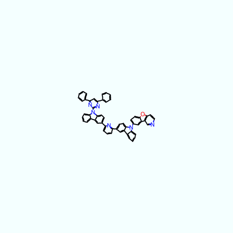 c1ccc(-c2cc(-c3ccccc3)nc(-n3c4ccccc4c4cc(-c5cccc(-c6ccc7c(c6)c6ccccc6n7-c6ccc7oc8ccncc8c7c6)n5)ccc43)n2)cc1